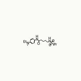 CCN(C)c1ccc(NC(=O)CCCCNS(=O)(=O)C(C)C)cc1